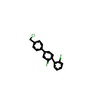 Fc1ccccc1-c1ccc(-c2ccc(CCl)cc2)cc1F